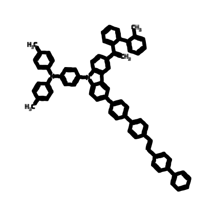 C=C(c1ccc2c(c1)c1cc(-c3ccc(-c4ccc(/C=C/c5ccc(-c6ccccc6)cc5)cc4)cc3)ccc1n2-c1ccc(N(c2ccc(C)cc2)c2ccc(C)cc2)cc1)c1ccccc1-c1ccccc1C